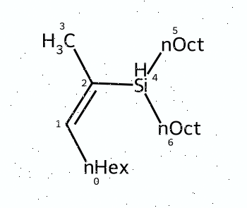 CCCCCCC=C(C)[SiH](CCCCCCCC)CCCCCCCC